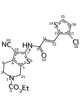 CCOC(=O)N1CCc2c(sc(NC(=O)C=Cc3sccc3Cl)c2C#N)C1